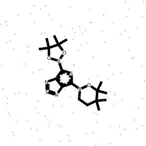 CC1(C)CCB(c2sc(B3OC(C)(C)C(C)(C)O3)c3c2N=S=N3)OC1(C)C